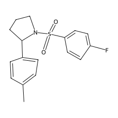 Cc1ccc(C2CCCN2S(=O)(=O)c2ccc(F)cc2)cc1